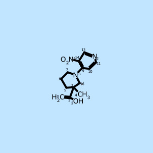 C=C(O)C1(C)CCCN(c2ccncc2[N+](=O)[O-])C1